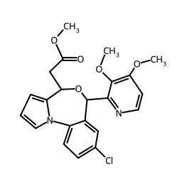 COC(=O)CC1OC(c2nccc(OC)c2OC)c2cc(Cl)ccc2-n2cccc21